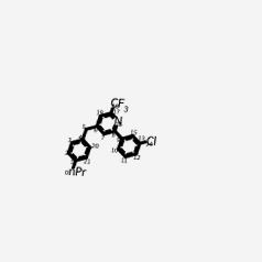 CCCc1ccc(Cc2cc(-c3cccc(Cl)c3)nc(C(F)(F)F)c2)cc1